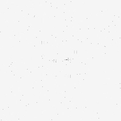 CC1CC(C)[C@@H]2CC(C)(F)CN2C1=O